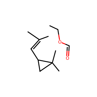 CC(C)=CC1CC1(C)C.CCOC=O